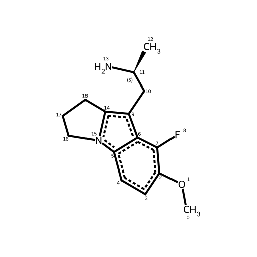 COc1ccc2c(c1F)c(C[C@H](C)N)c1n2CCC1